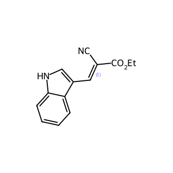 CCOC(=O)/C(C#N)=C/c1c[nH]c2ccccc12